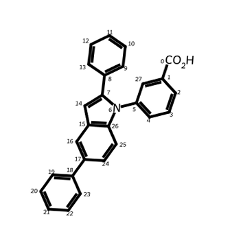 O=C(O)c1cccc(-n2c(-c3ccccc3)cc3cc(-c4ccccc4)ccc32)c1